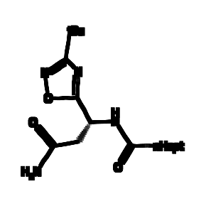 CCCCCCCC(=O)N[C@H](CC(N)=O)c1nc(C(C)(C)C)no1